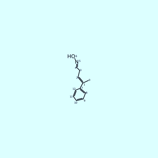 CC(=CCC=NO)c1ccccc1